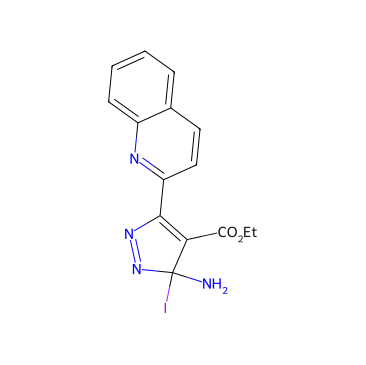 CCOC(=O)C1=C(c2ccc3ccccc3n2)N=NC1(N)I